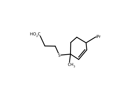 CC(C)C1C=CC(C)(SCCC(=O)O)CC1